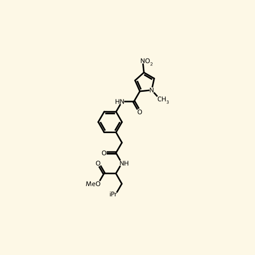 COC(=O)C(CC(C)C)NC(=O)Cc1cccc(NC(=O)c2cc([N+](=O)[O-])cn2C)c1